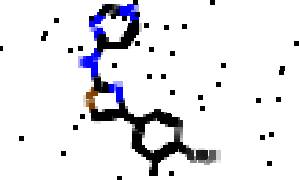 Cc1cc(-c2csc(Nc3ccncn3)n2)ccc1C(=O)O